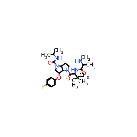 CNC(C)C(=O)NC(C(=O)N1CCC2C1C(Oc1ccc(F)cc1)CN2C(=O)NC(C)C)C(C)(C)C